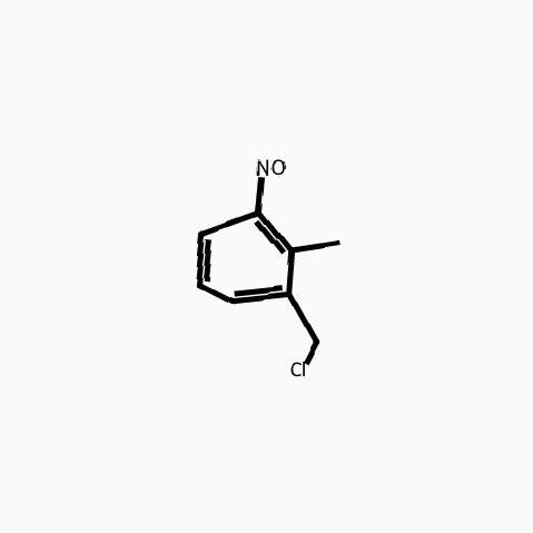 Cc1c(CCl)cccc1N=O